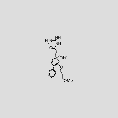 COCCCOC1=C(c2ccccc2)C=CC(CCC(=O)NC(=N)N)(CC(C)C)C1